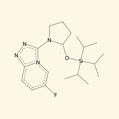 CC(C)[Si](OC1CCCN1c1nnc2ccc(F)cn12)(C(C)C)C(C)C